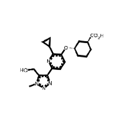 Cn1nnc(-c2ccc(O[C@H]3CCC[C@H](C(=O)O)C3)c(C3CC3)n2)c1CO